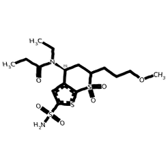 CCC(=O)N(CC)[C@H]1CC(CCCOC)S(=O)(=O)c2sc(S(N)(=O)=O)cc21